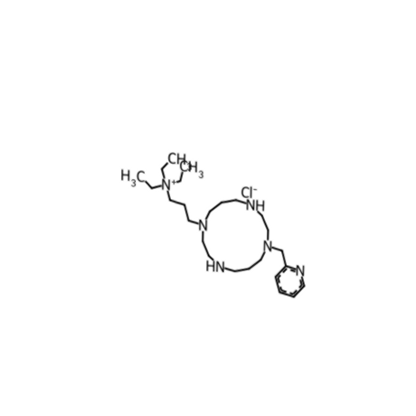 CC[N+](CC)(CC)CCCN1CCCNCCN(Cc2ccccn2)CCCNCC1.[Cl-]